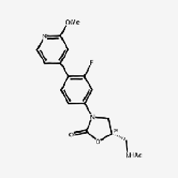 COc1cc(-c2ccc(N3C[C@H](CNC(C)=O)OC3=O)cc2F)ccn1